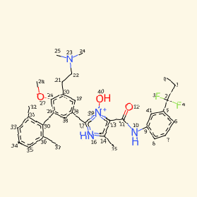 CCC(F)(F)c1cccc(NC(=O)c2c(C)[nH]c(-c3cc(CCN(C)C)c(OC)c(-c4c(C)cccc4C)c3)[n+]2O)c1